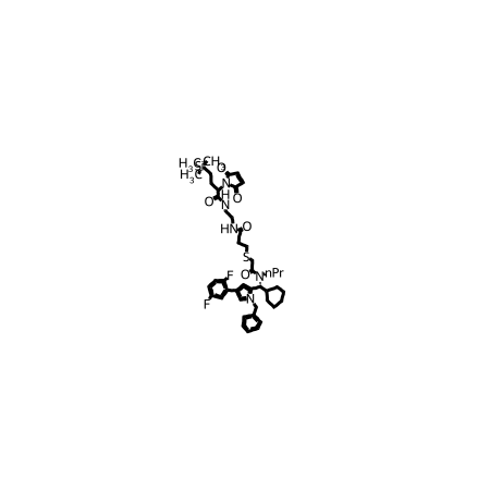 [CH2]CCN(C(=O)CSCCC(=O)NCCNC(=O)C(CC[Si](C)(C)C)N1C(=O)C=CC1=O)[C@@H](c1cc(-c2cc(F)ccc2F)cn1Cc1ccccc1)C1CCCCC1